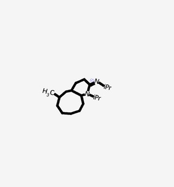 CC1CCCCCC2C(CC/C(=N/C(C)C)N2C(C)C)C1